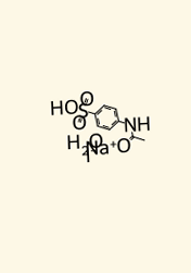 CC(=O)Nc1ccc(S(=O)(=O)O)cc1.O.[I-].[Na+]